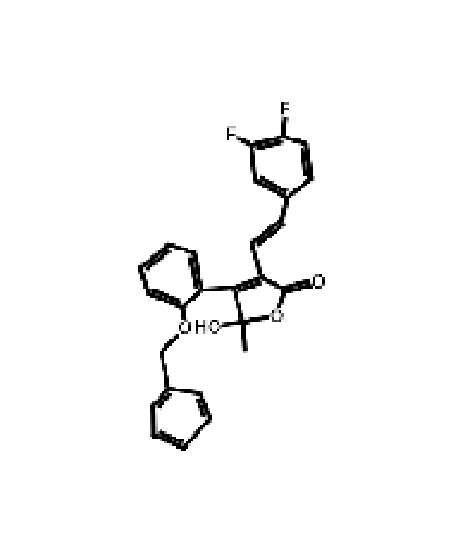 CC1(O)OC(=O)C(C=Cc2ccc(F)c(F)c2)=C1c1ccccc1OCc1ccccc1